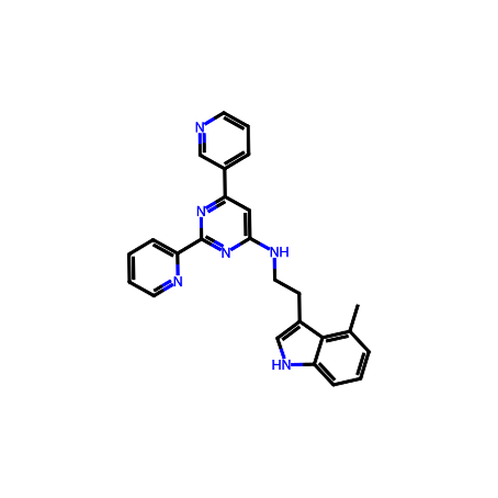 Cc1cccc2[nH]cc(CCNc3cc(-c4cccnc4)nc(-c4ccccn4)n3)c12